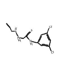 CCNNC(=S)Nc1cc(Cl)cc(Cl)c1